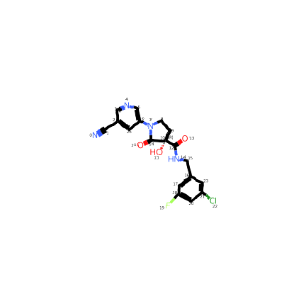 N#Cc1cncc(N2CC[C@@](O)(C(=O)NCc3cc(F)cc(Cl)c3)C2=O)c1